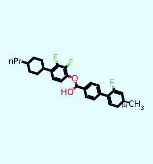 CCCC1CCC(c2ccc(OC(O)c3ccc(C4=CC[C@H](C)C=C4F)cc3)c(F)c2F)CC1